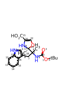 CC(C)(C)OC(=O)NC(C)(Cc1c[nH]c2ccccc12)[C@@]1(C)NC(C(=O)O)=CO1